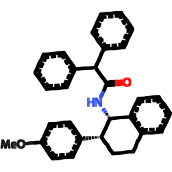 COc1ccc([C@H]2CCc3ccccc3[C@H]2NC(=O)C(c2ccccc2)c2ccccc2)cc1